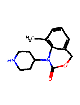 Cc1cccc2c1N(C1CCNCC1)C(=O)OC2